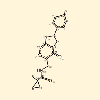 Cc1ccc(C2Cn3c(nnc(CNC(=O)C4(C)CC4)c3=O)N2)cc1